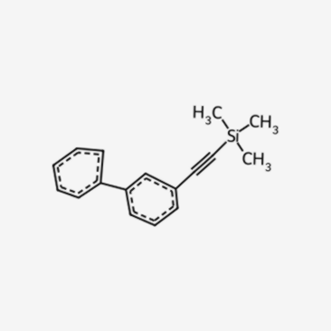 C[Si](C)(C)C#Cc1cccc(-c2ccccc2)c1